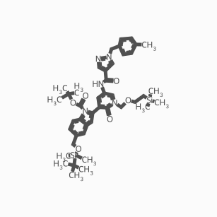 Cc1ccc(Cn2cc(C(=O)Nc3cc(-c4cc5cc(CO[Si](C)(C)C(C)(C)C)ccc5n4C(=O)OC(C)(C)C)c(=O)n(COCC[Si](C)(C)C)c3)cn2)cc1